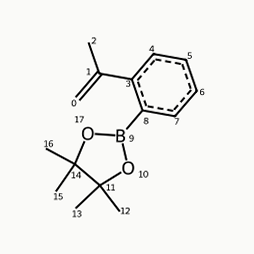 C=C(C)c1ccccc1B1OC(C)(C)C(C)(C)O1